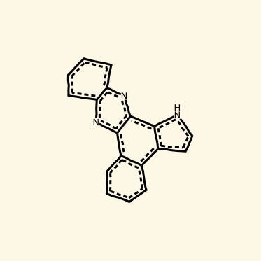 c1ccc2nc3c(nc2c1)c1ccccc1c1cc[nH]c13